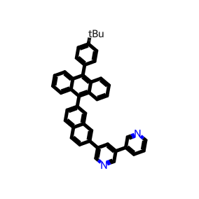 CC(C)(C)c1ccc(-c2c3ccccc3c(-c3ccc4ccc(-c5cncc(-c6cccnc6)c5)cc4c3)c3ccccc23)cc1